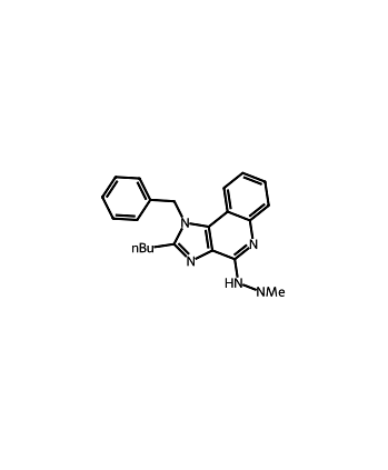 CCCCc1nc2c(NNC)nc3ccccc3c2n1Cc1ccccc1